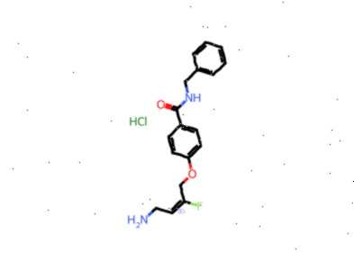 Cl.NC/C=C(/F)COc1ccc(C(=O)NCc2ccccc2)cc1